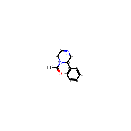 CCC(=O)N1CCNCC1c1ccccc1